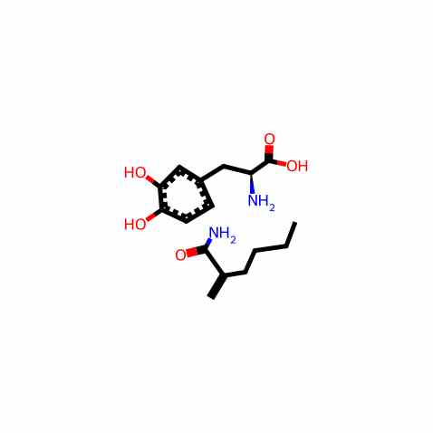 C=C(CCCC)C(N)=O.N[C@@H](Cc1ccc(O)c(O)c1)C(=O)O